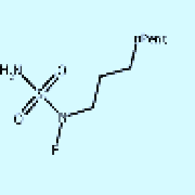 CCCCCCCCN(F)S(N)(=O)=O